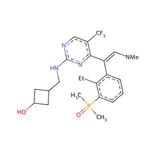 CCc1c(/C(=C\NC)c2nc(NCC3CC(O)C3)ncc2C(F)(F)F)cccc1P(C)(C)=O